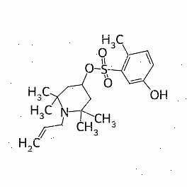 C=CCN1C(C)(C)CC(OS(=O)(=O)c2cc(O)ccc2C)CC1(C)C